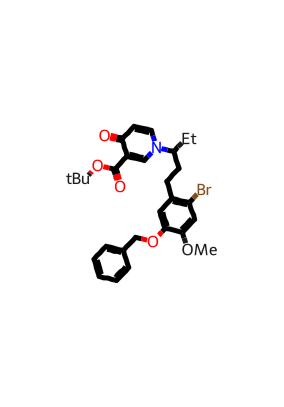 CCC(CCc1cc(OCc2ccccc2)c(OC)cc1Br)n1ccc(=O)c(C(=O)OC(C)(C)C)c1